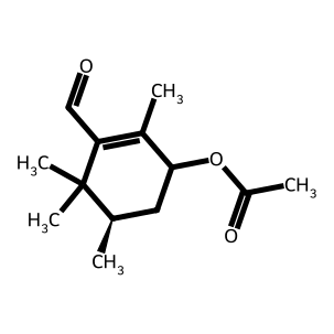 CC(=O)OC1C[C@@H](C)C(C)(C)C(C=O)=C1C